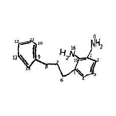 Nc1cccc(CCCc2ccccc2)c1N